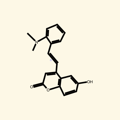 CN(C)c1ccccc1/C=C/c1cc(=O)oc2ccc(O)cc12